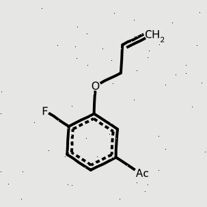 C=CCOc1cc(C(C)=O)ccc1F